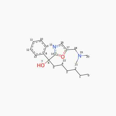 CCCCCCC(O)(c1ccccc1)c1ncc(CN(C)C)o1